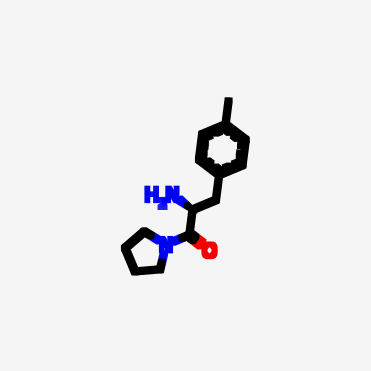 Cc1ccc(C[C@H](N)C(=O)N2CCCC2)cc1